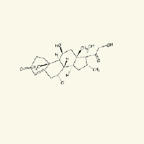 C[C@@H]1C[C@H]2[C@H]3[C@H]([C@@H](O)C[C@]2(C)[C@@]1(O)C(=O)CO)[C@@]1(C)CCC(=O)C=C1C[C@H]3Cl